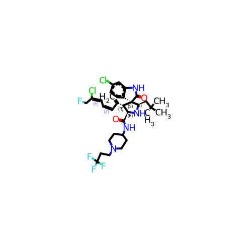 C=C(/C=C\C=C(\Cl)CF)[C@H]1[C@H](C(=O)NC2CCN(CCC(F)(F)F)CC2)N[C@H](CC(C)(C)C)[C@]12C(=O)Nc1cc(Cl)ccc12